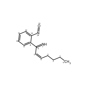 CCCC/C=C\C(=N)c1ccccc1N=O